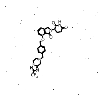 O=C1CCC(N2Cc3cccc(OCc4ccc(CN5CCn6nc(C(F)(F)F)nc6C5)cc4)c3C2=O)C(=O)N1